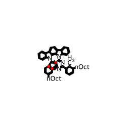 CCCCCCCCc1cccc(-c2nc(C3=CC=CC(CCCCCCCC)C3C)nc(-n3c4ccccc4c4ccc5c6ccccc6n(-c6ccccc6)c5c43)n2)c1